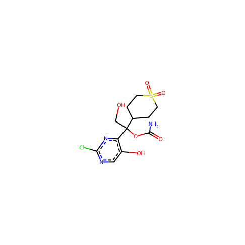 NC(=O)OC(CO)(c1nc(Cl)ncc1O)C1CCS(=O)(=O)CC1